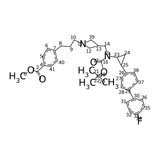 COC(=O)c1ccc(CCCN2CC(CN(C(=O)OC(C)(C)C)C3CC3c3ccc(-c4ccc(F)cc4)cc3)C2)cc1